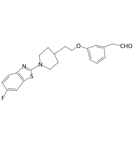 O=CCc1cccc(OCCC2CCN(c3nc4ccc(F)cc4s3)CC2)c1